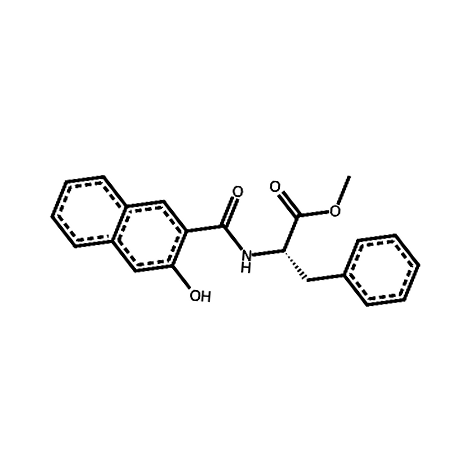 COC(=O)[C@H](Cc1ccccc1)NC(=O)c1cc2ccccc2cc1O